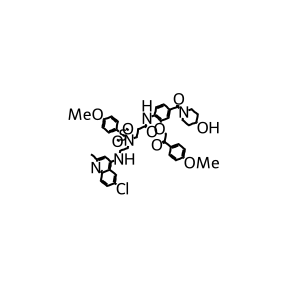 COc1ccc(C(=O)COc2cc(C(=O)N3CCC(O)CC3)ccc2NC(=O)CCN(CCNc2cc(C)nc3ccc(Cl)cc23)S(=O)(=O)c2ccc(OC)cc2)cc1